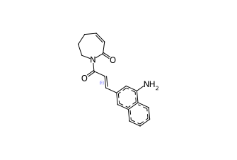 Nc1cc(/C=C/C(=O)N2CCCC=CC2=O)cc2ccccc12